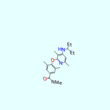 CCC(CC)Nc1cc(C)nc(Oc2c(C)cc(C(=O)NC)cc2C)c1C